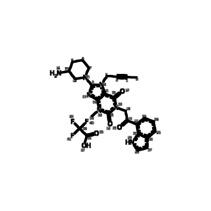 CC#CCn1c(N2CCCC(N)C2)nc2c1c(=O)n(CC(=O)c1cccc3cc[nH]c13)c(=O)n2C.O=C(O)C(F)(F)F